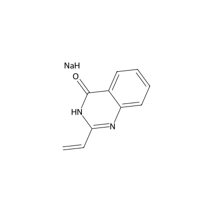 C=Cc1nc2ccccc2c(=O)[nH]1.[NaH]